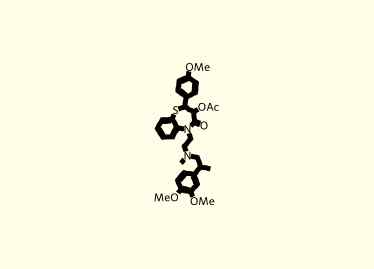 COc1ccc(C2Sc3ccccc3N(CCN(C)CC(C)c3ccc(OC)c(OC)c3)C(=O)C2OC(C)=O)cc1